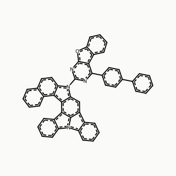 c1ccc(-c2ccc(-c3nc(-n4c5ccc6ccccc6c5c5c6c7ccccc7n7c8ccccc8c(cc54)c67)nc4oc5ccccc5c34)cc2)cc1